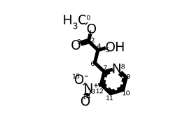 COC(=O)C(O)Cc1ncccc1[N+](=O)[O-]